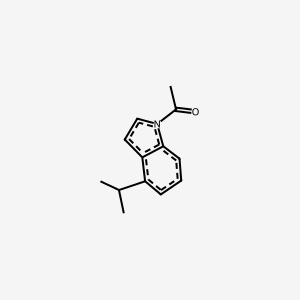 CC(=O)n1ccc2c(C(C)C)cccc21